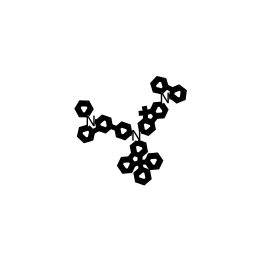 CC1(C)c2cc(N(c3ccc(-c4ccc5c(c4)c4ccccc4n5-c4ccccc4)cc3)c3ccc4c(c3)-c3ccccc3C4(c3ccccc3)c3ccccc3)ccc2-c2ccc(-n3c4ccccc4c4ccccc43)cc21